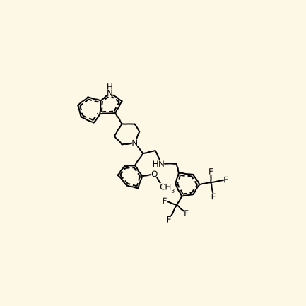 COc1ccccc1C(CNCc1cc(C(F)(F)F)cc(C(F)(F)F)c1)N1CCC(c2c[nH]c3ccccc23)CC1